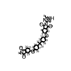 Cc1nc(N2C(=O)c3ccc(Oc4ccc(C(C)(C)c5ccc(Oc6ccc7c(c6)C(=O)N(C)C7=O)cc5)cc4)cc3C2=O)n[nH]1